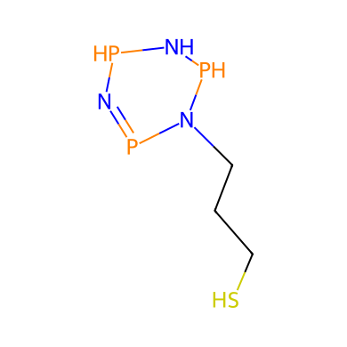 SCCCn1pn[pH][nH][pH]1